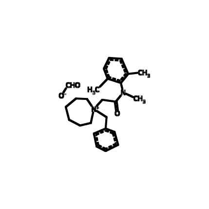 Cc1cccc(C)c1N(C)C(=O)C[N+]1(Cc2ccccc2)CCCCCC1.O=C[O-]